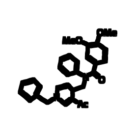 COc1ccc(C(=O)N(CC2C=CN(Cc3ccccc3)C=C2C(C)=O)c2ccccc2)cc1OC